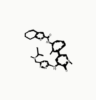 Cc1c(NC(=O)c2cc3c(s2)CCCCC3)cccc1-c1cc(Nc2ccc(CN(C)C(C)C)nn2)c(=O)n(C)c1